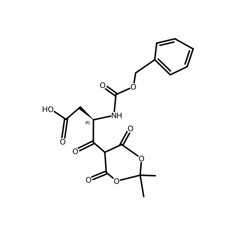 CC1(C)OC(=O)C(C(=O)[C@@H](CC(=O)O)NC(=O)OCc2ccccc2)C(=O)O1